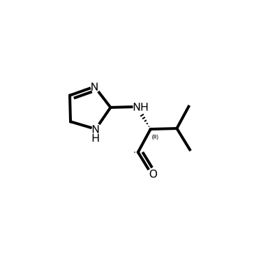 CC(C)[C@H]([C]=O)NC1N=CCN1